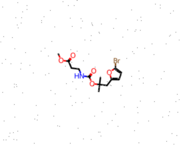 COC(=O)CCNC(=O)OC(C)(C)Cc1ccc(Br)o1